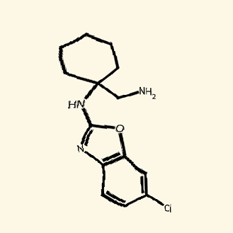 NCC1(Nc2nc3ccc(Cl)cc3o2)CCCCC1